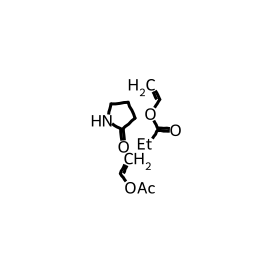 C=COC(=O)CC.C=COC(C)=O.O=C1CCCN1